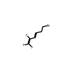 FC(F)=C(F)C=CCCBr